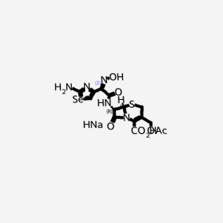 CC(=O)OCC1=C(C(=O)O)N2C(=O)[C@@H](NC(=O)/C(=N\O)c3c[se]c(N)n3)[C@H]2SC1.[NaH]